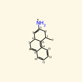 CC1CC(N)=CC2CC=c3ccccc3=C12